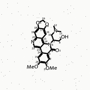 COc1cc2c(=O)n(C(CO)CN(C)C)c3c4cc5c(cc4ncc3c2cc1OC)OCO5